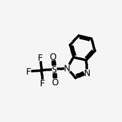 O=S(=O)(n1cnc2ccccc21)C(F)(F)F